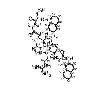 C[C@@H](NC(=O)[C@@H](N)CS)C(=O)N[C@@H](Cc1c[nH]cn1)C(=O)N[C@H](Cc1ccc2ccccc2c1)C(=O)N[C@@H](CCCNC(=N)N)C(=O)N[C@@H](Cc1cccc2ccccc12)C(=O)O